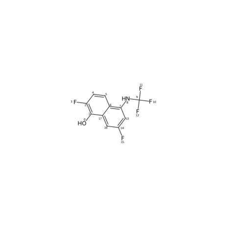 Oc1c(F)ccc2c(NC(F)(F)F)cc(F)cc12